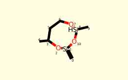 C=[Si]1OC(C)CCO[SiH](C)O1